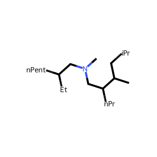 CCCCCC(CC)CN(C)CC(CCC)C(C)CC(C)C